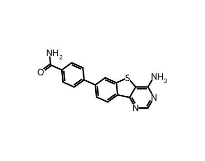 NC(=O)c1ccc(-c2ccc3c(c2)sc2c(N)ncnc23)cc1